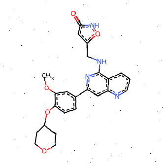 COc1cc(-c2cc3ncccc3c(NCc3cc(=O)[nH]o3)n2)ccc1OC1CCOCC1